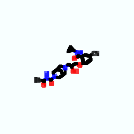 CCC(=O)NC(=O)N1CC2CC(CN(CC(O)COc3ccc(C#N)cc3C(=O)NC3CC3)C2)C1